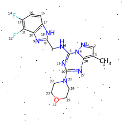 Cc1cnn2c(NCc3nc4c(F)c(F)ccc4[nH]3)nc(N3CCOCC3)nc12